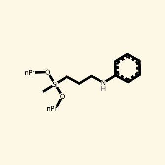 CCCO[Si](C)(CCCNc1ccccc1)OCCC